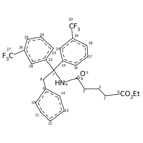 CCOC(=O)CCCC(=O)NC(Cc1ccccc1)(c1cccc(C(F)(F)F)c1)c1cccc(C(F)(F)F)c1